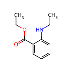 CCNc1ccccc1C(=O)OCC